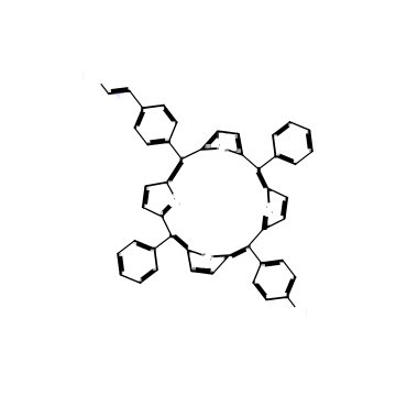 C/C=C/c1ccc(-c2c3nc(c(-c4ccccc4)c4ccc([nH]4)c(-c4ccc(C)cc4)c4nc(c(-c5ccccc5)c5ccc2[nH]5)C=C4)C=C3)cc1